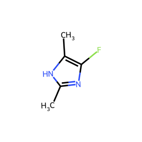 Cc1nc(F)c(C)[nH]1